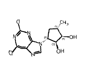 C[C@H]1C[C@@H](n2cnc3c(Cl)nc(Cl)nc32)[C@H](O)[C@@H]1O